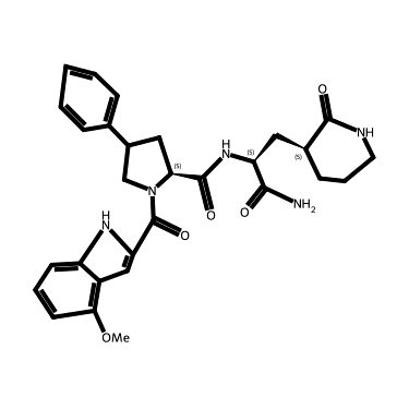 COc1cccc2[nH]c(C(=O)N3CC(c4ccccc4)C[C@H]3C(=O)N[C@@H](C[C@@H]3CCCNC3=O)C(N)=O)cc12